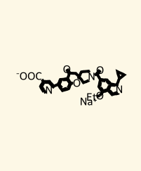 CCOc1cc(C(=O)N2CCC3(CC2)CC(=O)c2cc(-c4cc(C(=O)[O-])ccn4)ccc2O3)cc2c(C3CC3)nccc12.[Na+]